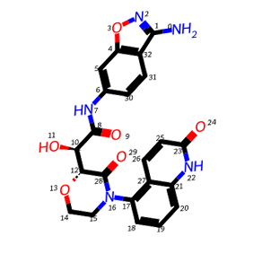 Nc1noc2cc(NC(=O)[C@H](O)[C@H]3OCCN(c4cccc5[nH]c(=O)ccc45)C3=O)ccc12